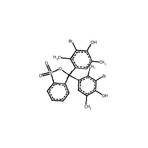 Cc1cc(C2(c3cc(C)c(O)c(Br)c3C)OS(=O)(=O)c3ccccc32)c(C)c(Br)c1O